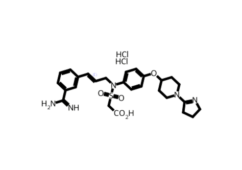 Cl.Cl.N=C(N)c1cccc(/C=C/CN(c2ccc(OC3CCN(C4=NCCC4)CC3)cc2)S(=O)(=O)CC(=O)O)c1